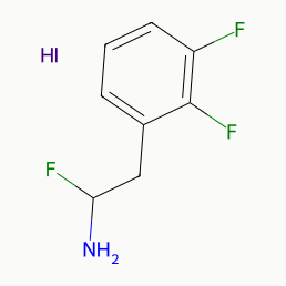 I.NC(F)Cc1cccc(F)c1F